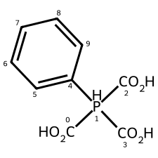 O=C(O)[PH](C(=O)O)(C(=O)O)c1ccccc1